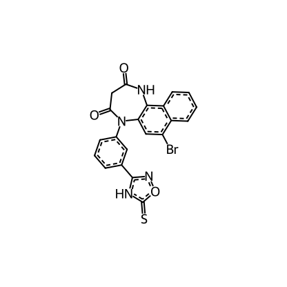 O=C1CC(=O)N(c2cccc(-c3noc(=S)[nH]3)c2)c2cc(Br)c3ccccc3c2N1